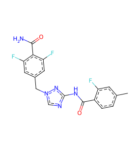 Cc1ccc(C(=O)Nc2ncn(Cc3cc(F)c(C(N)=O)c(F)c3)n2)c(F)c1